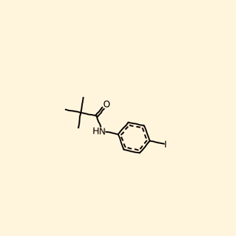 CC(C)(C)C(=O)Nc1ccc(I)cc1